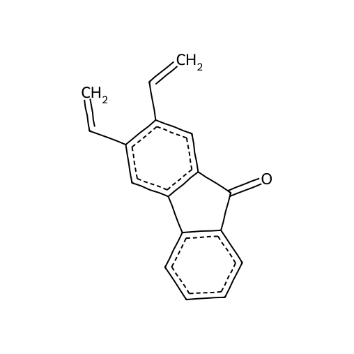 C=Cc1cc2c(cc1C=C)-c1ccccc1C2=O